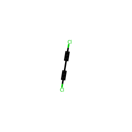 ClC#CC#CCl